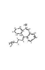 CNCCC=C1c2ccccc2C=C(Br)c2ccccc21